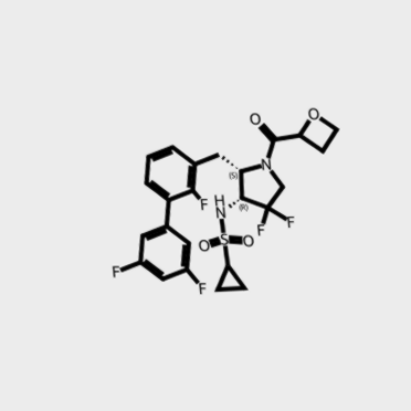 O=C(C1CCO1)N1CC(F)(F)[C@H](NS(=O)(=O)C2CC2)[C@@H]1Cc1cccc(-c2cc(F)cc(F)c2)c1F